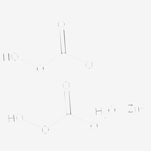 O.O=C([O-])OO.O=C([O-])OO.[Zn+2]